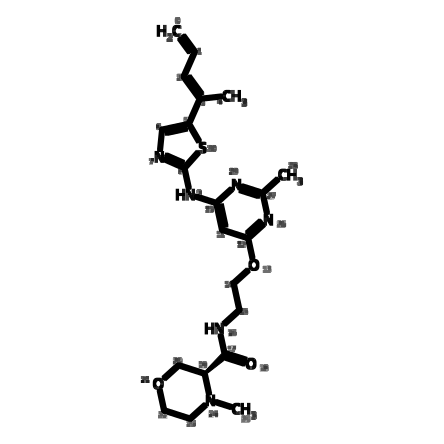 C=C/C=C(\C)c1cnc(Nc2cc(OCCNC(=O)[C@@H]3COCCN3C)nc(C)n2)s1